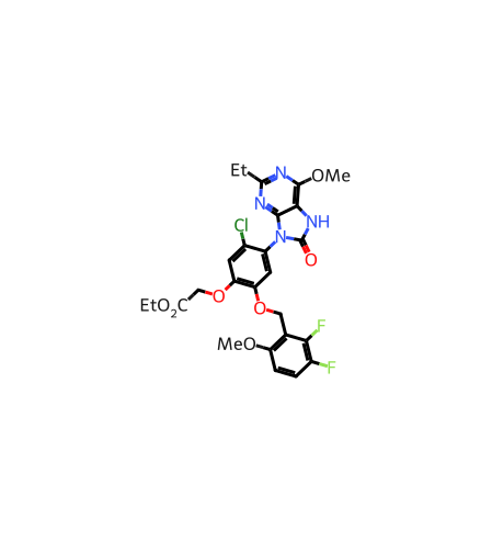 CCOC(=O)COc1cc(Cl)c(-n2c(=O)[nH]c3c(OC)nc(CC)nc32)cc1OCc1c(OC)ccc(F)c1F